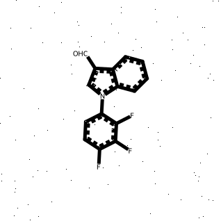 O=Cc1cn(-c2ccc(F)c(F)c2F)c2ccccc12